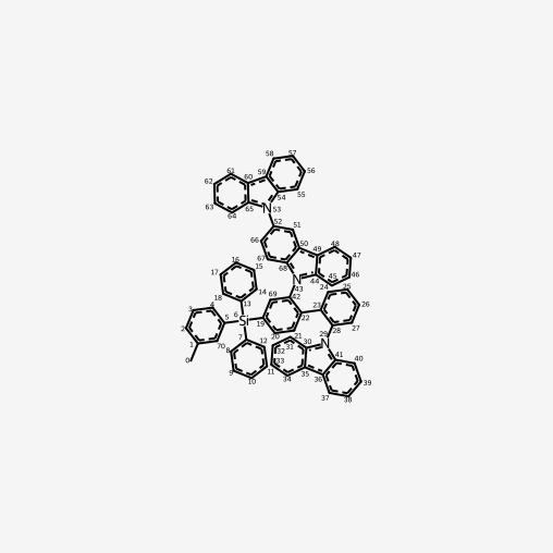 Cc1cccc([Si](c2ccccc2)(c2ccccc2)c2ccc(-c3ccccc3-n3c4ccccc4c4ccccc43)c(-n3c4ccccc4c4cc(-n5c6ccccc6c6ccccc65)ccc43)c2)c1